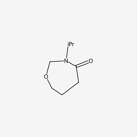 CC(C)N1COCCCC1=O